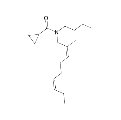 CC/C=C\CC/C=C(/C)CN(CCCC)C(=O)C1CC1